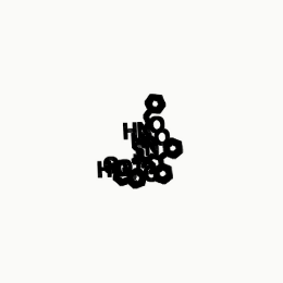 C=C1S[C@@H]2[C@H](NC(=O)Cc3ccccc3)C(=O)N2C(C(c2ccccc2)c2ccccc2)C1(COc1ccc2ccc(=O)oc2c1)C(=O)O